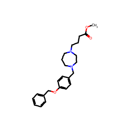 COC(=O)CCCN1CCCN(Cc2ccc(OCc3ccccc3)cc2)CC1